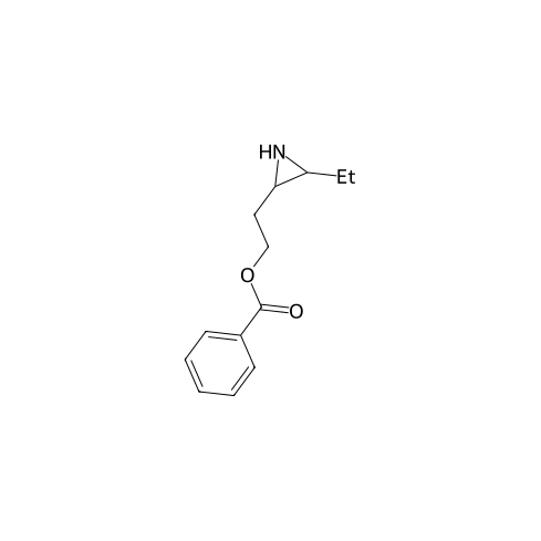 CCC1NC1CCOC(=O)c1ccccc1